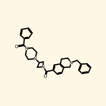 O=C(c1ccccc1)N1CCN(C2CN(C(=O)c3ccc4c(c3)CCN(Cc3ccccc3)C4)C2)CC1